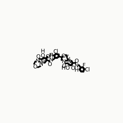 O=C(NCc1cc(C2CN3CN(CCO2)n2cc(C(=O)NCc4cccc(Cl)c4F)c(=O)c(O)c2C3=O)cc(Cl)c1F)c1cn2c(c(O)c1=O)C(=O)N1CCOCCN2C1